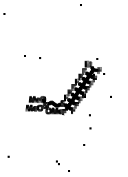 CCC(F)C(F)(F)C(F)(F)C(F)(F)C(F)(F)C(F)(F)C(F)(F)C(F)(F)SCC[Si](OC)(OC)OC